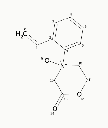 C=Cc1ccccc1[N+]1([O-])CCOC(=O)C1